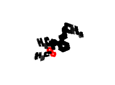 CCCCc1ccccc1C=C(C)COC(C)=O